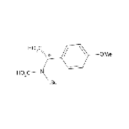 COc1ccc([C@@H](C(=O)O)N(C(=O)O)C(C)(C)C)cc1